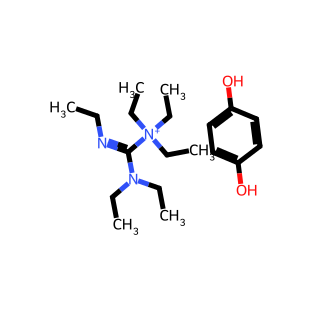 CCN=C(N(CC)CC)[N+](CC)(CC)CC.Oc1ccc(O)cc1